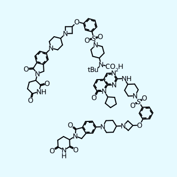 CC(C)(C)N(C(=O)O)C1CCN(S(=O)(=O)c2cccc(OC3CN(C4CCN(c5ccc6c(c5)CN(C5CCC(=O)NC5=O)C6=O)CC4)C3)c2)CC1.O=C1CCC(N2Cc3cc(N4CCC(N5CC(Oc6cccc(S(=O)(=O)N7CCC(Nc8ncc9ccc(=O)n(C%10CCCC%10)c9n8)CC7)c6)C5)CC4)ccc3C2=O)C(=O)N1